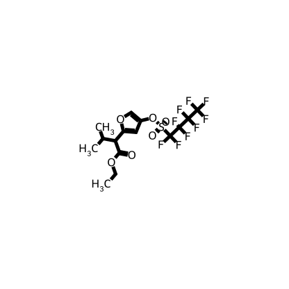 CCOC(=O)C(c1cc(OS(=O)(=O)C(F)(F)C(F)(F)C(F)(F)C(F)(F)F)co1)C(C)C